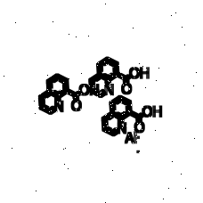 O=C(O)c1cccc2cccnc12.O=C(O)c1cccc2cccnc12.O=C(O)c1cccc2cccnc12.[Al]